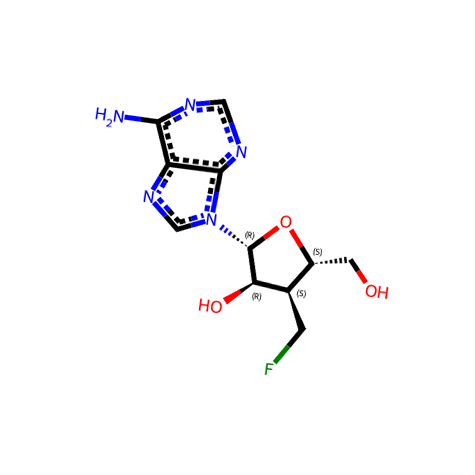 Nc1ncnc2c1ncn2[C@@H]1O[C@H](CO)[C@@H](CF)[C@H]1O